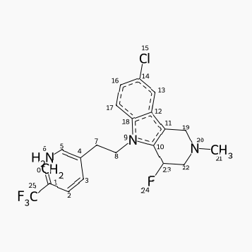 C=C(/C=C\C(=C/N)CCn1c2c(c3cc(Cl)ccc31)CN(C)CC2F)C(F)(F)F